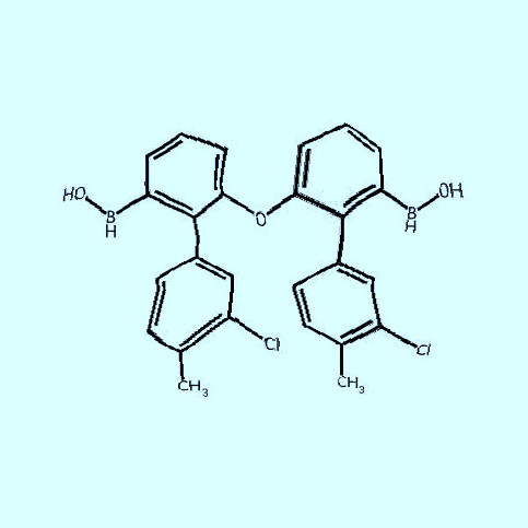 Cc1ccc(-c2c(BO)cccc2Oc2cccc(BO)c2-c2ccc(C)c(Cl)c2)cc1Cl